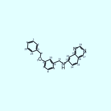 c1ccc(COc2cccc(CNc3ccc4cncnc4c3)c2)cc1